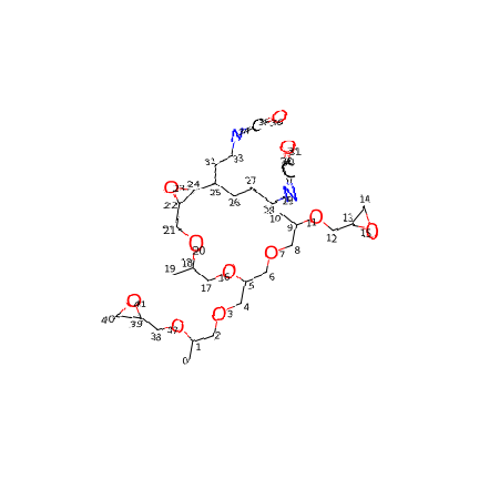 CC(COCC(COCC(C)OCC1CO1)OCC(C)OCC1OC1C(CCCN=C=O)CCN=C=O)OCC1CO1